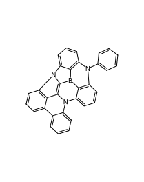 c1ccc(N2c3cccc4c3B3c5c2cccc5-n2c3c3c5c(cccc52)-c2ccccc2N43)cc1